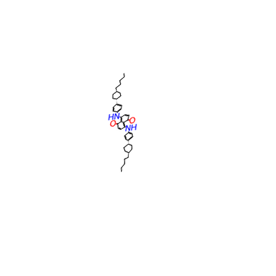 CCCCC[C@H]1CC[C@H](c2ccc(NC3=C4C(=O)C=CC(Nc5ccc([C@H]6CC[C@H](CCCCC)CC6)cc5)=C4C(=O)C=C3)cc2)CC1